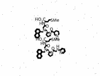 CSCC[C@H](NC(=O)CN(Cc1cccc2ccccc12)C[C@@H]1CCCN1C(=O)C1CCCNC1)C(=O)O.CSCC[C@H](NC(=O)CN(Cc1cccc2ccccc12)C[C@@H]1CCCN1C(=O)CNc1ccccn1)C(=O)O